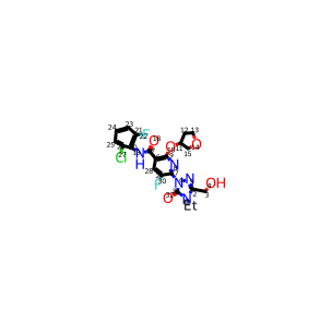 CCn1c(CO)nn(-c2nc(OC3CCOC3)c(C(=O)Nc3c(F)cccc3Cl)cc2F)c1=O